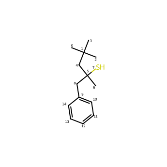 CC(C)(C)CC(C)(S)Cc1ccccc1